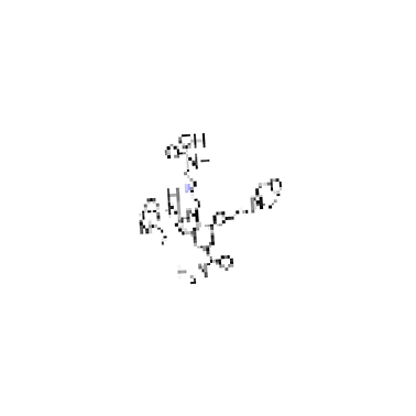 CCc1nc(C)oc1Nc1nc2cc(C(N)=O)cc(OCCCN3CCOCC3)c2n1C/C=C/CNC(=O)O